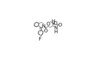 O=C1NC2CC(C(=O)N3CCc4ccccc4[C@@H]3c3ccc(F)cc3)OC[C@H]2O1